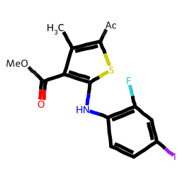 COC(=O)c1c(Nc2ccc(I)cc2F)sc(C(C)=O)c1C